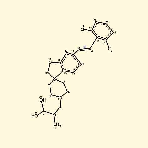 CC(CN1CCC2(CC1)COc1cc(/C=C/c3c(Cl)cccc3Cl)ccc12)C(O)O